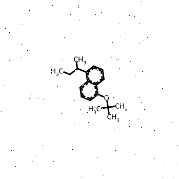 CCC(C)c1cccc2c(OC(C)(C)C)cccc12